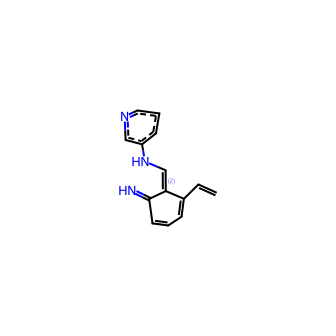 C=CC1=CC=CC(=N)/C1=C\Nc1cccnc1